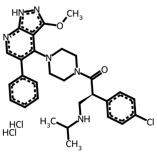 COc1n[nH]c2ncc(-c3ccccc3)c(N3CCN(C(=O)[C@H](CNC(C)C)c4ccc(Cl)cc4)CC3)c12.Cl.Cl